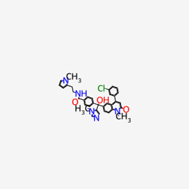 Cn1cccc1CCNC(=O)c1ccc(C(O)(c2ccc3c(c2)c(-c2cccc(Cl)c2)cc(=O)n3C)c2cncn2C)cc1